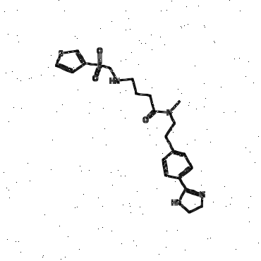 CN(CCc1ccc(C2=NCCN2)cc1)C(=O)CCCNCS(=O)(=O)c1ccsc1